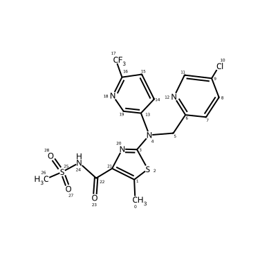 Cc1sc(N(Cc2ccc(Cl)cn2)c2ccc(C(F)(F)F)nc2)nc1C(=O)NS(C)(=O)=O